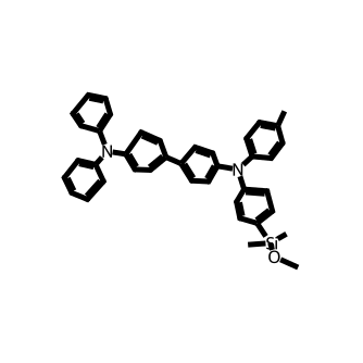 CO[Si](C)(C)c1ccc(N(c2ccc(C)cc2)c2ccc(-c3ccc(N(c4ccccc4)c4ccccc4)cc3)cc2)cc1